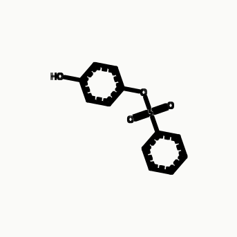 O=S(=O)(Oc1ccc(O)cc1)c1ccccc1